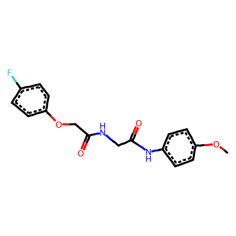 COc1ccc(NC(=O)CNC(=O)COc2ccc(F)cc2)cc1